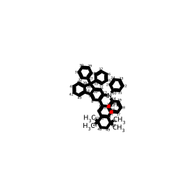 Cc1cc2c(cc1-c1cc3c(cc1N(c1ccccc1)c1ccccc1)C(c1ccccc1)(c1ccccc1)c1ccccc1-3)C(C)(C)CCC2(C)C